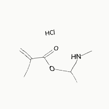 C=C(C)C(=O)OC(C)NC.Cl